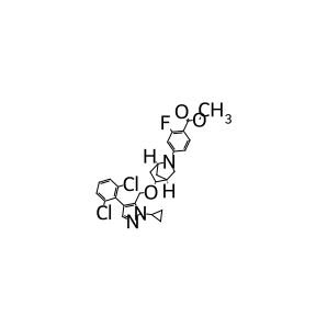 COC(=O)c1ccc(N2C[C@@H]3C[C@H]2C[C@H]3OCc2c(-c3c(Cl)cccc3Cl)cnn2C2CC2)cc1F